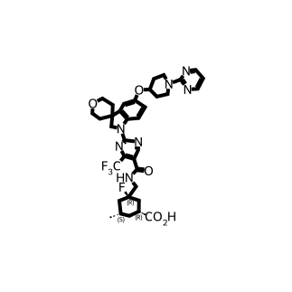 C[C@H]1C[C@@H](C(=O)O)C[C@@](F)(CNC(=O)c2cnc(N3CC4(CCOCC4)c4cc(OC5CCN(c6ncccn6)CC5)ccc43)nc2C(F)(F)F)C1